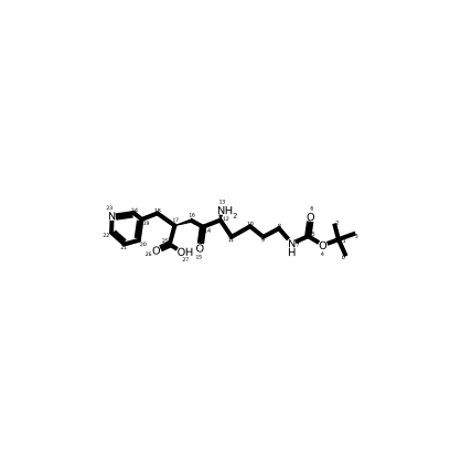 CC(C)(C)OC(=O)NCCCC[C@H](N)C(=O)C[C@H](Cc1cccnc1)C(=O)O